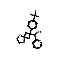 OC(c1ccccn1)C1(c2ccc(C(F)(F)F)cc2)CC2(C1)OCCO2